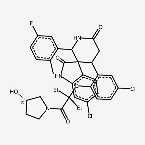 CCC(CC)(Oc1ccc(Cl)cc1C1CC(=O)NC(c2cc(F)ccc2C)C12C(=O)Nc1cc(Cl)ccc12)C(=O)N1CC[C@H](O)C1